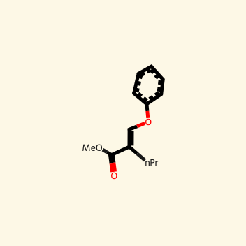 CCC/C(=C\Oc1ccccc1)C(=O)OC